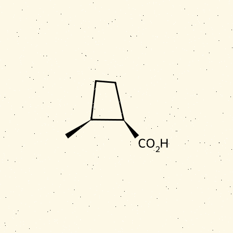 C[C@H]1CC[C@H]1C(=O)O